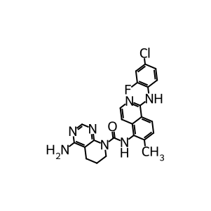 Cc1ccc2c(Nc3ccc(Cl)cc3F)nccc2c1NC(=O)N1CCCc2c(N)ncnc21